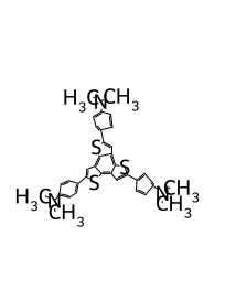 CN(C)c1ccc(-c2cc3c(s2)c2cc(-c4ccc(N(C)C)cc4)sc2c2cc(-c4ccc(N(C)C)cc4)sc32)cc1